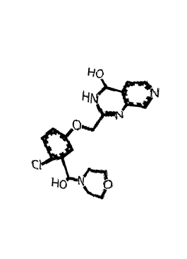 OC1NC(COc2ccc(Cl)c(C(O)N3CCOCC3)c2)=Nc2cnccc21